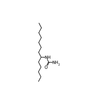 CCCCCCCC(CCCCC)NC(N)=O